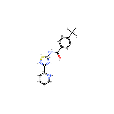 CC(C)(C)c1ccc(C(=O)Nc2nc(-c3ccccn3)ns2)cc1